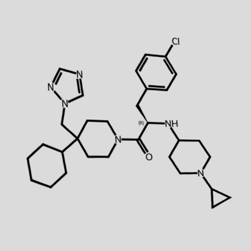 O=C([C@@H](Cc1ccc(Cl)cc1)NC1CCN(C2CC2)CC1)N1CCC(Cn2cncn2)(C2CCCCC2)CC1